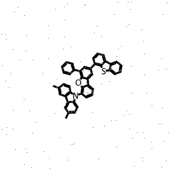 Cc1ccc2c(c1)c1cc(C)ccc1n2-c1cccc2c1oc1c(-c3ccccc3)cc(-c3cccc4c3sc3ccccc34)cc12